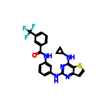 O=C(Nc1cccc(Nc2nc(NC3CC3)c3sccc3n2)c1)c1cccc(C(F)(F)F)c1